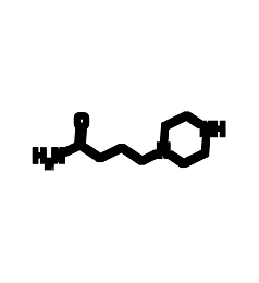 NC(=O)CCCN1CCNCC1